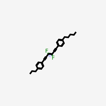 CCCCCc1ccc(C#C/C(F)=C(\F)C#Cc2ccc(CCC)cc2)cc1